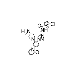 NC1CCN(c2cc(-n3ccccc3=O)ccc2-n2cc(CNC(=O)c3ccc(Cl)s3)nn2)CC1